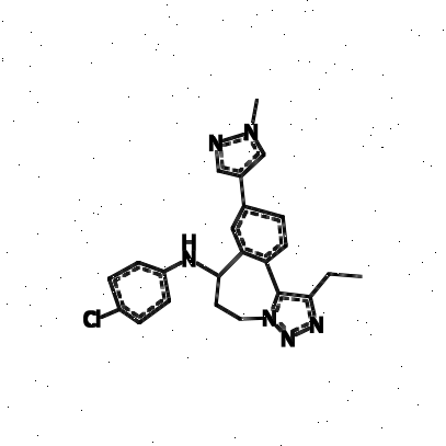 CCc1nnn2c1-c1ccc(-c3cnn(C)c3)cc1C(Nc1ccc(Cl)cc1)CC2